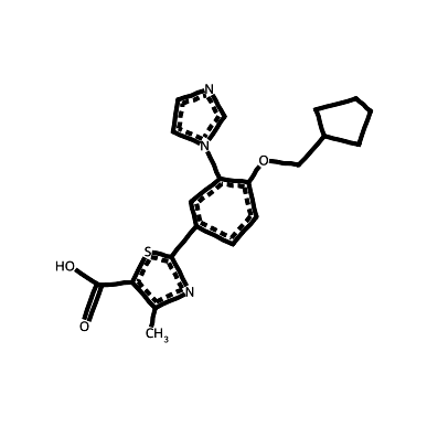 Cc1nc(-c2ccc(OCC3CCCC3)c(-n3ccnc3)c2)sc1C(=O)O